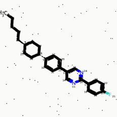 CCCCC[C@H]1CC[C@H](c2ccc(-c3cnc(-c4ccc(F)cc4)nc3)cc2)CC1